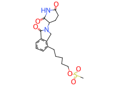 CS(=O)(=O)OCCCCCc1cccc2c1CN(C1CCC(=O)NC1=O)C2=O